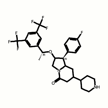 C[C@@H](OC1CN2C(=O)CC(C3CCNCC3)CC2[C@@H]1c1ccc(F)cc1)c1cc(C(F)(F)F)cc(C(F)(F)F)c1